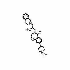 CC(C)N1CC=C(c2ccc3c(c2)OCCN(CC(O)CN2CCc4ccccc4C2)C3=O)CC1